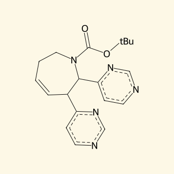 CC(C)(C)OC(=O)N1CCC=CC(c2ccncn2)C1c1ccncn1